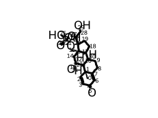 C[C@]12C=CC(=O)C=C1CC[C@@H]1[C@@H]2C(=O)C[C@@]2(C)[C@H]1CC[C@]2(OP(=O)(O)O)C(=O)CO